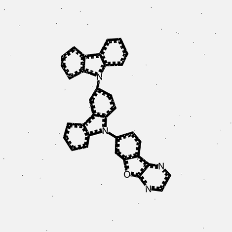 c1ccc2c(c1)c1ccccc1n2-c1ccc2c(c1)c1ccccc1n2-c1ccc2c(c1)oc1nccnc12